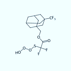 O=C(OCC12CC3CC(C1)CC(C(F)(F)F)(C3)C2)C(F)(F)SOOO